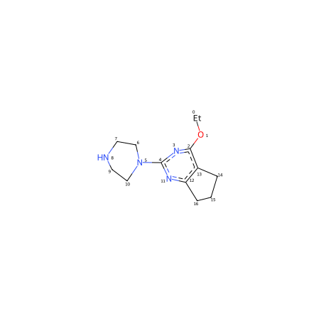 CCOc1nc(N2CCNCC2)nc2c1CCC2